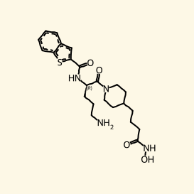 NCCC[C@@H](NC(=O)c1cc2ccccc2s1)C(=O)N1CCC(CCCC(=O)NO)CC1